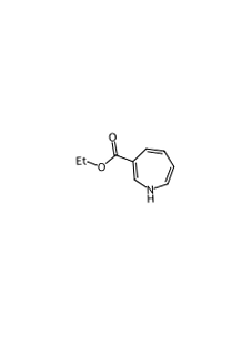 CCOC(=O)C1=CNC=CC=C1